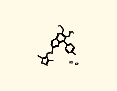 Cc1ccc(-c2c(CN)c(CC(C)C)nc3ccc(OCc4c(C)noc4C)cc23)cc1.Cl.Cl